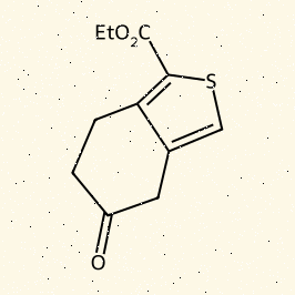 CCOC(=O)c1scc2c1CCC(=O)C2